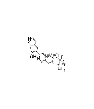 CC[C@]1(C)C/C(=C/c2ncc(-c3cc4ccncc4cc3O)nn2)[C@@H](OC)CC1(F)F